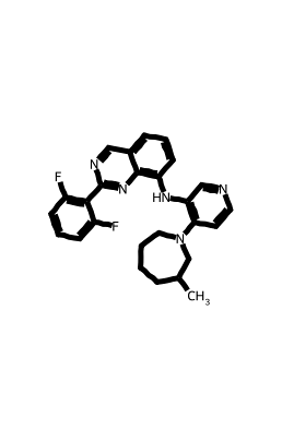 CC1CCCCN(c2ccncc2Nc2cccc3cnc(-c4c(F)cccc4F)nc23)C1